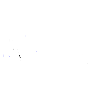 [CH2][C@](C)(N)c1nc(-c2ccc(OCCCCCCCC)cc2)c[nH]1